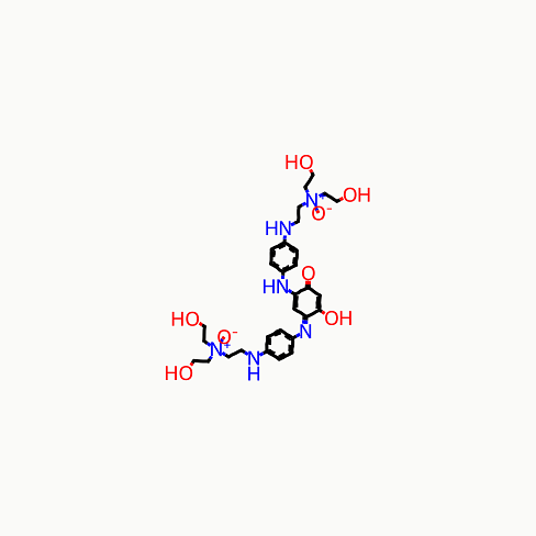 O=C1C=C(O)/C(=N/c2ccc(NCC[N+]([O-])(CCO)CCO)cc2)C=C1Nc1ccc(NCC[N+]([O-])(CCO)CCO)cc1